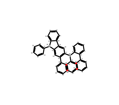 c1ccc(-c2ccccc2N(c2ccccc2)c2cc3c4ccccc4n(-c4ccccc4)c3cc2-c2ccccc2)cc1